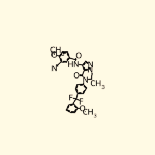 COc1ccc(C(=O)Nc2cnn3c2C(=O)N(c2ccc(C(F)(F)c4ccccc4OC)cc2)[C@@H](C)C3)cc1C#N